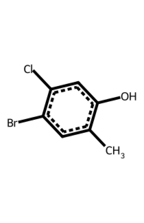 Cc1cc(Br)c(Cl)cc1O